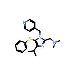 CC(C)c1nc(CN(C)C)n(Cc2ccncc2)c1Sc1ccccc1